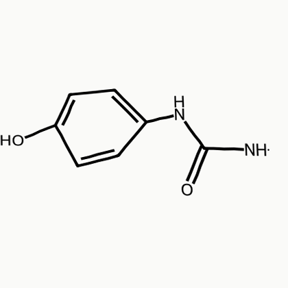 [NH]C(=O)Nc1ccc(O)cc1